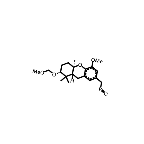 COCO[C@@H]1CC[C@@]2(C)Oc3c(cc(CP=O)cc3OC)C[C@@H]2C1(C)C